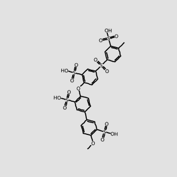 COc1ccc(-c2ccc(Oc3ccc(S(=O)(=O)c4ccc(C)c(S(=O)(=O)O)c4)cc3S(=O)(=O)O)c(S(=O)(=O)O)c2)cc1S(=O)(=O)O